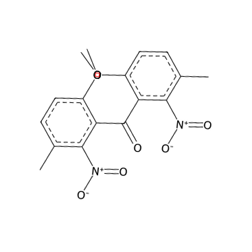 COc1ccc(C)c([N+](=O)[O-])c1C(=O)c1c(OC)ccc(C)c1[N+](=O)[O-]